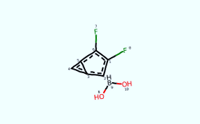 Fc1cc2cc-2c1F.OBO